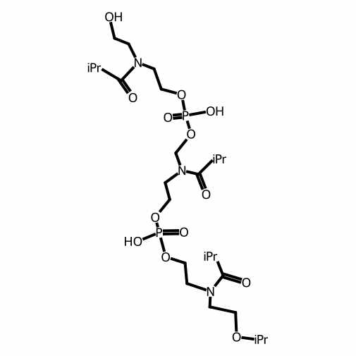 CC(C)OCCN(CCOP(=O)(O)OCCN(COP(=O)(O)OCCN(CCO)C(=O)C(C)C)C(=O)C(C)C)C(=O)C(C)C